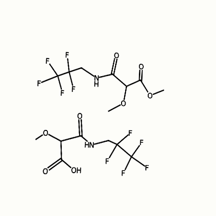 COC(=O)C(OC)C(=O)NCC(F)(F)C(F)(F)F.COC(C(=O)O)C(=O)NCC(F)(F)C(F)(F)F